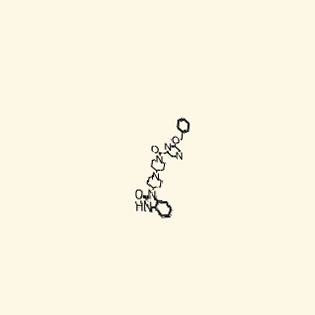 O=C(c1cncc(OCc2ccccc2)n1)N1CCC(N2CCC(n3c(=O)[nH]c4ccccc43)CC2)CC1